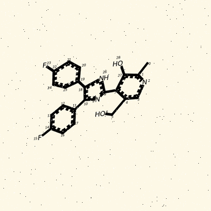 Cc1ncc(CO)c(-c2nc(-c3ccc(F)cc3)c(-c3ccc(F)cc3)[nH]2)c1O